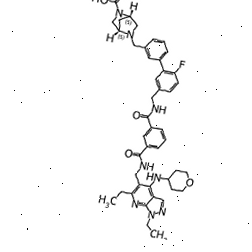 CCc1nc2c(cnn2CC)c(NC2CCOCC2)c1CNC(=O)c1cccc(C(=O)NCc2ccc(F)c(-c3cccc(CN4C[C@@H]5C[C@H]4CN5C(=O)O)c3)c2)c1